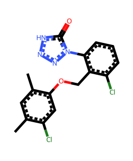 Cc1cc(C)c(OCc2c(Cl)cccc2-n2nn[nH]c2=O)cc1Cl